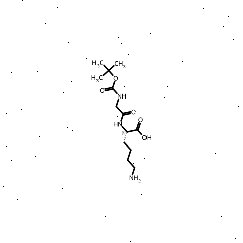 CC(C)(C)OC(=O)NCC(=O)N[C@@H](CCCCN)C(=O)O